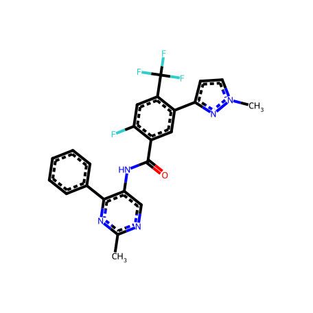 Cc1ncc(NC(=O)c2cc(-c3ccn(C)n3)c(C(F)(F)F)cc2F)c(-c2ccccc2)n1